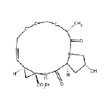 CCOC(=O)[C@@]12C[C@H]1/C=C\CCCCC[C@H](C)C(=O)N1C[C@H](O)C[C@H]1C(=O)N2